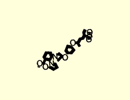 C=C/C(=C\C=C(/C)Oc1ccc(OC2CN(c3cccc(C(=O)OC)c3-n3cccc3)C2)cc1)S(C)(=O)=O